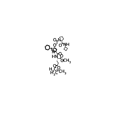 COC(=O)[C@H](CCC(=O)OC(C)(C)C)NC(=O)c1cc(OCC(=O)N2CCC[C@H]2C(=O)NC2CCC2)n(-c2ccccc2)n1